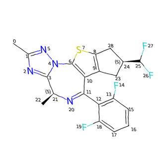 Cc1nc2n(n1)-c1sc3c(c1C(c1c(F)cccc1F)=N[C@H]2C)C[C@H](C(F)F)C3